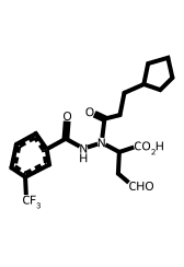 O=CCC(C(=O)O)N(NC(=O)c1cccc(C(F)(F)F)c1)C(=O)CCC1CCCC1